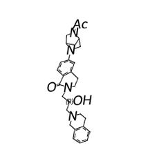 CC(=O)N1CC2CC1CN2c1ccc2c(c1)CCN(C[C@H](O)CN1CCc3ccccc3C1)C2=O